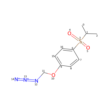 CC(C)S(=O)(=O)c1ccc(OCN=[N+]=[N-])cc1